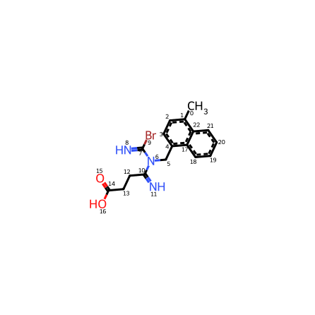 Cc1ccc(CN(C(=N)Br)C(=N)CCC(=O)O)c2ccccc12